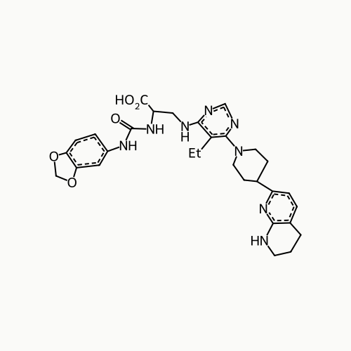 CCc1c(NCC(NC(=O)Nc2ccc3c(c2)OCO3)C(=O)O)ncnc1N1CCC(c2ccc3c(n2)NCCC3)CC1